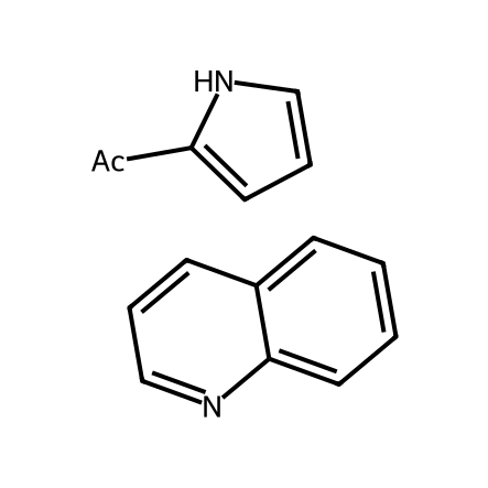 CC(=O)c1ccc[nH]1.c1ccc2ncccc2c1